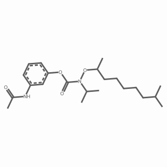 CC(=O)Nc1cccc(OC(=O)N(OC(C)CCCCCC(C)C)C(C)C)c1